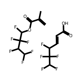 C=C(C)C(=O)OC(F)C(F)(F)C(F)C(F)F.O=C(O)C=CC(F)C(F)(F)C(F)F